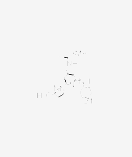 COC(=O)NCc1cc(NC2CCC(F)(F)CC2)nc(-n2ccc(C)n2)c1